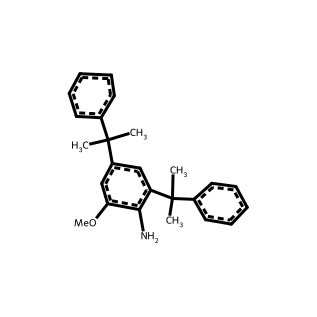 COc1cc(C(C)(C)c2ccccc2)cc(C(C)(C)c2ccccc2)c1N